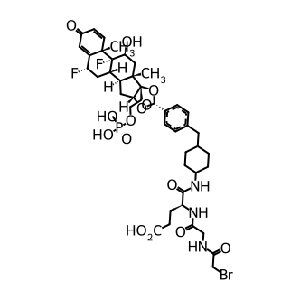 C[C@]12C=CC(=O)C=C1[C@@H](F)C[C@H]1[C@@H]3C[C@H]4O[C@@H](c5ccc(CC6CCC(NC(=O)[C@H](CCC(=O)O)NC(=O)CNC(=O)CBr)CC6)cc5)O[C@@]4(C(=O)COP(=O)(O)O)[C@@]3(C)C[C@H](O)[C@@]12F